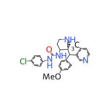 COc1ccc(C(c2cnccc2C(F)(F)F)C2CNCCC2NC(=O)Nc2ccc(Cl)cc2)cc1